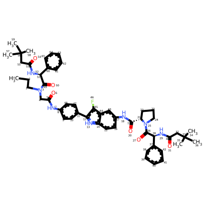 CCCN(CC(=O)Nc1ccc(-c2[nH]c3ccc(NC(=O)[C@@H]4CCCN4C(=O)[C@@H](NC(=O)CC(C)(C)C)c4ccccc4)cc3c2F)cc1)C(=O)[C@@H](NC(=O)CC(C)(C)C)c1ccccc1